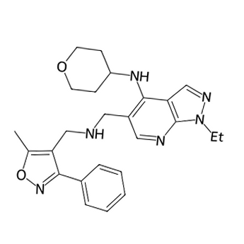 CCn1ncc2c(NC3CCOCC3)c(CNCc3c(-c4ccccc4)noc3C)cnc21